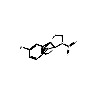 O=[SH](=O)N1CC[C@@]23C=CCC[C@@]12Nc1ccc(Br)cc13